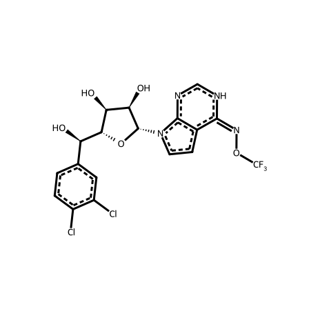 O[C@@H]1[C@H](O)[C@@H]([C@H](O)c2ccc(Cl)c(Cl)c2)O[C@H]1n1ccc2/c(=N\OC(F)(F)F)[nH]cnc21